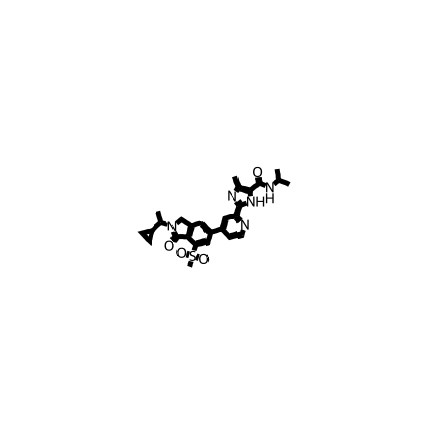 Cc1nc(-c2cc(-c3cc4c(c(S(C)(=O)=O)c3)C(=O)N(C(C)C3CC3)C4)ccn2)[nH]c1C(=O)NC(C)C